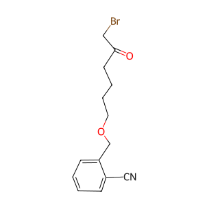 N#Cc1ccccc1COCCCCC(=O)CBr